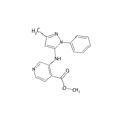 COC(=O)c1ccncc1Nc1cc(C)nn1-c1ccccc1